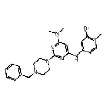 Cc1ccc(Nc2cc(N(C)C)nc(N3CCN(Cc4ccccc4)CC3)n2)cc1Br